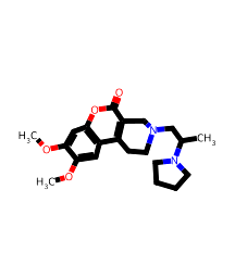 COc1cc2oc(=O)c3c(c2cc1OC)CCN(CC(C)N1CCCC1)C3